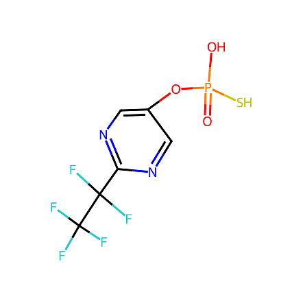 O=P(O)(S)Oc1cnc(C(F)(F)C(F)(F)F)nc1